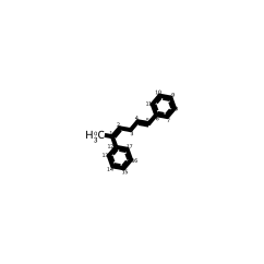 CC(=CCC=Cc1ccccc1)c1ccccc1